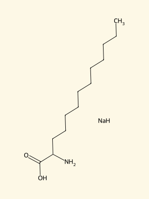 CCCCCCCCCCCC(N)C(=O)O.[NaH]